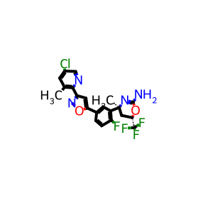 Cc1cc(Cl)cnc1-c1cc(-c2ccc(F)c([C@]3(C)C[C@@H](C(F)(F)F)OC(N)=N3)c2)on1